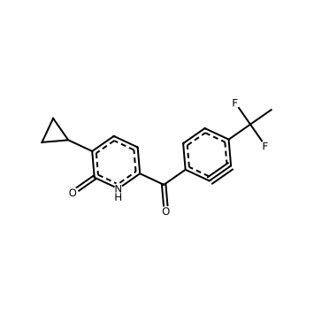 CC(F)(F)c1c#cc(C(=O)c2ccc(C3CC3)c(=O)[nH]2)cc1